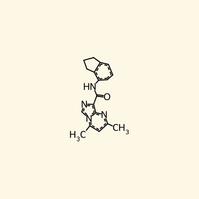 Cc1cc(C)n2cnc(C(=O)Nc3cccc4c3CCC4)c2n1